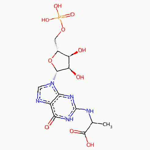 CC(Nc1nc2c(ncn2[C@@H]2O[C@H](COP(=O)(O)O)[C@@H](O)[C@H]2O)c(=O)[nH]1)C(=O)O